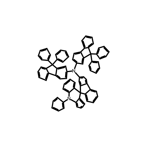 c1ccc(N2c3ccccc3C3(c4ccccc4-c4ccc(N(c5ccc6c(c5)C(c5ccccc5)(c5ccccc5)c5ccccc5-6)c5ccc6c(c5)C(c5ccccc5)(c5ccccc5)c5ccccc5-6)cc43)c3ccccc32)cc1